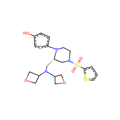 O=S(=O)(c1cccs1)N1CCN(c2ccc(O)cc2)[C@@H](CN(C2COC2)C2COC2)C1